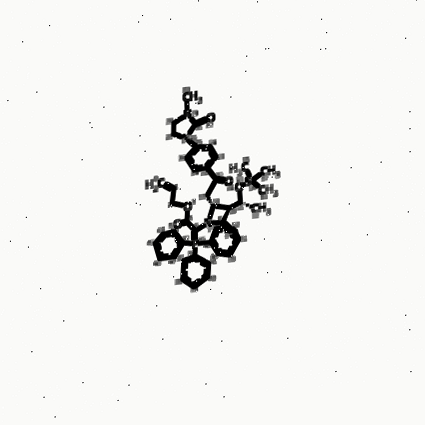 C=CCOC(=O)C(N1C(=O)[C@H]([C@@H](C)O[Si](C)(C)C)[C@H]1CC(=O)c1ccc(N2CCN(C)C2=O)cc1)=P(c1ccccc1)(c1ccccc1)c1ccccc1